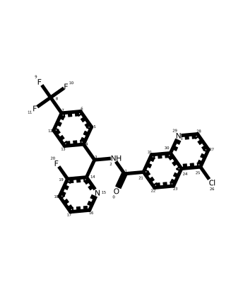 O=C(NC(c1ccc(C(F)(F)F)cc1)c1ncccc1F)c1ccc2c(Cl)ccnc2c1